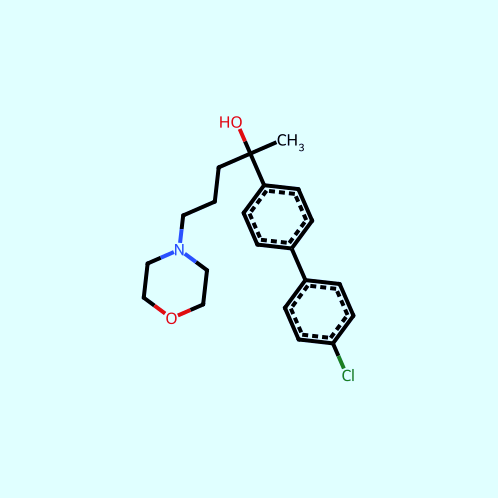 CC(O)(CCCN1CCOCC1)c1ccc(-c2ccc(Cl)cc2)cc1